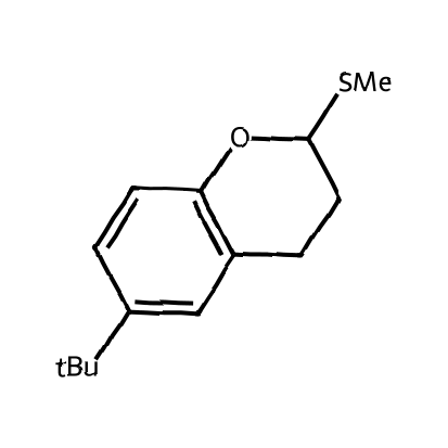 CSC1CCc2cc(C(C)(C)C)ccc2O1